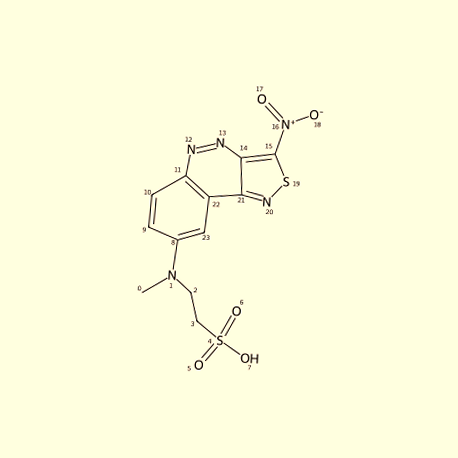 CN(CCS(=O)(=O)O)c1ccc2nnc3c([N+](=O)[O-])snc3c2c1